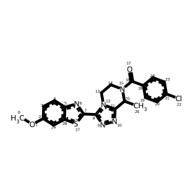 COc1ccc2nc(-c3nnc4n3CCN(C(=O)c3ccc(Cl)cc3)C4C)sc2c1